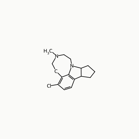 CN1CCc2c(Cl)ccc3c2N(CC1)C1CCCC31